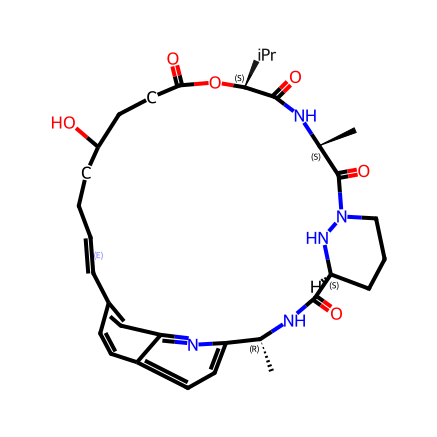 CC(C)[C@@H]1OC(=O)CCC(O)CC/C=C/c2ccc3ccc(nc3c2)[C@@H](C)NC(=O)[C@@H]2CCCN(N2)C(=O)[C@H](C)NC1=O